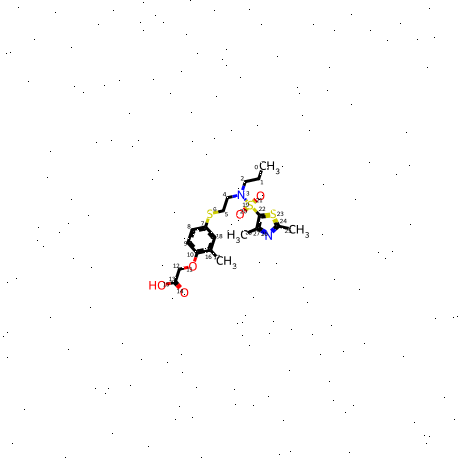 CCCN(CCSc1ccc(OCC(=O)O)c(C)c1)S(=O)(=O)c1sc(C)nc1C